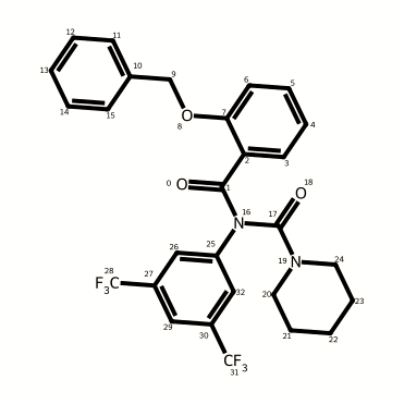 O=C(c1ccccc1OCc1ccccc1)N(C(=O)N1CCCCC1)c1cc(C(F)(F)F)cc(C(F)(F)F)c1